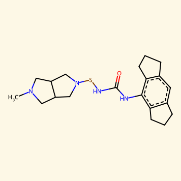 CN1CC2CN(SNC(=O)Nc3c4c(cc5c3CCC5)CCC4)CC2C1